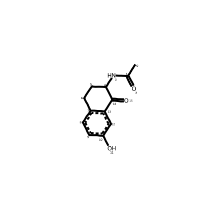 CC(=O)NC1CCc2ccc(O)cc2C1=O